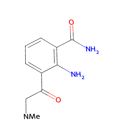 CNCC(=O)c1cccc(C(N)=O)c1N